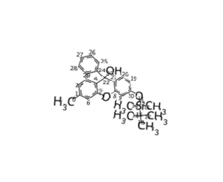 Cc1ccc2c(c1)Oc1cc(O[Si](C)(C)C(C)(C)C)ccc1C2(O)c1ccccc1